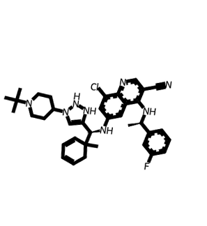 C[C@@H](Nc1c(C#N)cnc2c(Cl)cc(N[C@H](C3=CN(C4CCN(C(C)(C)C)CC4)NN3)C3(C)C=CC=CC3)cc12)c1cccc(F)c1